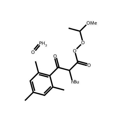 CCCCC(C(=O)OOC(C)OC)C(=O)c1c(C)cc(C)cc1C.O=[PH3]